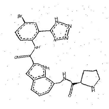 O=C(Nc1ccc(Br)cc1-c1nnn[nH]1)c1cc2cccc(NC(=O)[C@H]3CCCN3)c2[nH]1